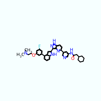 CN(C)CCOc1cc(F)cc(-c2cccc3[nH]c(-c4n[nH]c5ccc(-c6cncc(NC(=O)CC7CCCCC7)c6)nc45)cc23)c1